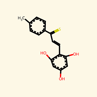 Cc1ccc(C(=S)C=Cc2c(O)cc(O)cc2O)cc1